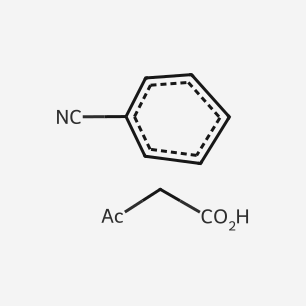 CC(=O)CC(=O)O.N#Cc1ccccc1